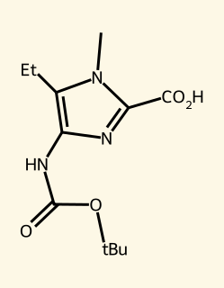 CCc1c(NC(=O)OC(C)(C)C)nc(C(=O)O)n1C